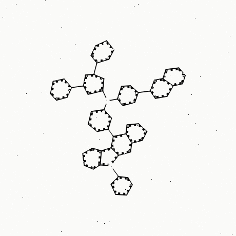 c1ccc(-c2cc(-c3ccccc3)cc(N(c3ccc(-c4ccc5ccccc5c4)cc3)c3cccc(-c4c5ccccc5cc5c4c4ccccc4n5-c4ccccc4)c3)c2)cc1